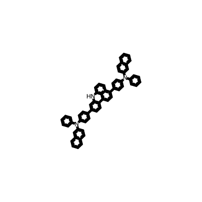 c1ccc(N(c2ccc(-c3ccc4c(c3)Nc3cccc5c(-c6ccc(N(c7ccccc7)c7ccc8ccccc8c7)cc6)ccc-4c35)cc2)c2ccc3ccccc3c2)cc1